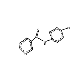 O=C(Nc1ccc(Cl)cc1)c1cccnc1